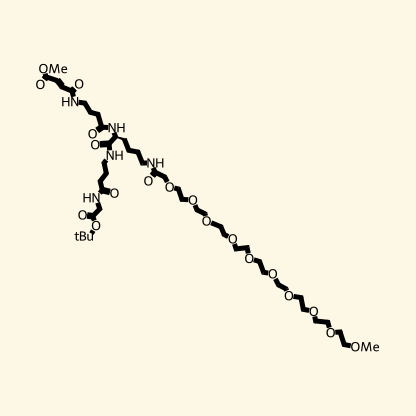 COCCOCCOCCOCCOCCOCCOCCOCCOCCOCC(=O)NCCCC[C@H](NC(=O)CCCNC(=O)/C=C/C(=O)OC)C(=O)NCCCC(=O)NCC(=O)OC(C)(C)C